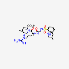 CC1CNc2c(cccc2S(=O)(=O)NCC(=O)N[C@@H](CCCNC(=N)N)C(=O)N2CC[C@@H](C)C[C@@H]2C(=O)O)C1